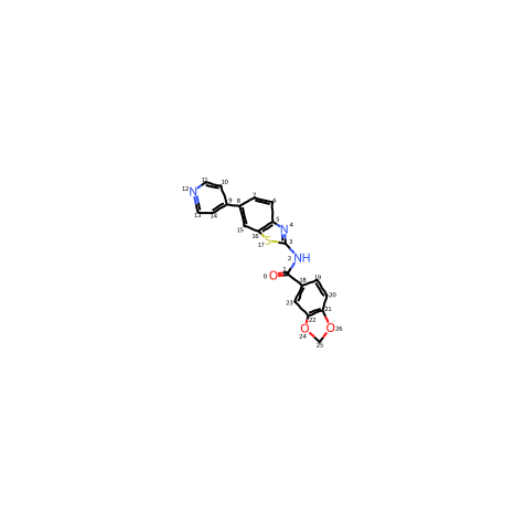 O=C(Nc1nc2ccc(-c3ccncc3)cc2s1)c1ccc2c(c1)OCO2